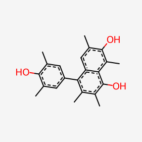 Cc1cc(-c2c(C)c(C)c(O)c3c(C)c(O)c(C)cc23)cc(C)c1O